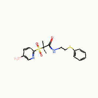 Bc1ccc(S(=O)(=O)C(C)(C)C(=O)NCCSc2ccccc2)nc1